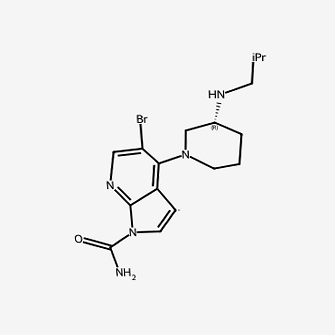 CC(C)CN[C@@H]1CCCN(c2c(Br)cnc3c2[c]cn3C(N)=O)C1